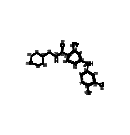 CC(C)c1cc(Nc2ccc(Br)c(Cl)c2)ncc1C(=O)NCC1CCOCC1